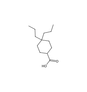 CCCC1(CCC)CCC(C(=O)O)CC1